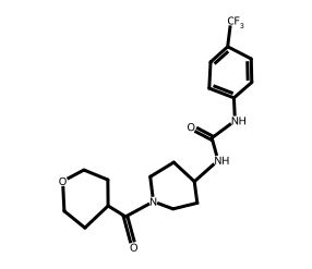 O=C(Nc1ccc(C(F)(F)F)cc1)NC1CCN(C(=O)C2CCOCC2)CC1